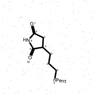 CCCCCCCCC1CC(=O)NC1=O